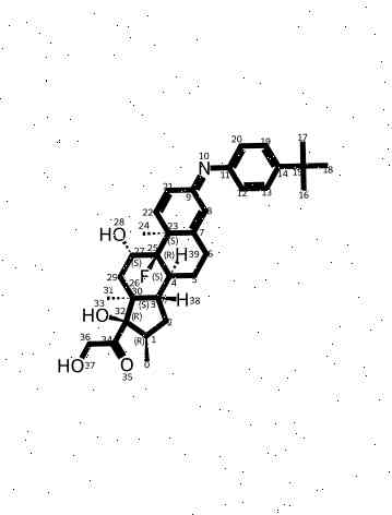 C[C@@H]1C[C@H]2[C@@H]3CCC4=CC(=Nc5ccc(C(C)(C)C)cc5)C=C[C@]4(C)[C@@]3(F)[C@@H](O)C[C@]2(C)[C@@]1(O)C(=O)CO